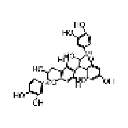 Oc1cc(O)c2c(c1)O[C@H](c1ccc(O)c(O)c1)C(O)C2c1c(O)cc2c(c1O)CC(O)[C@@H](c1ccc(O)c(O)c1)O2